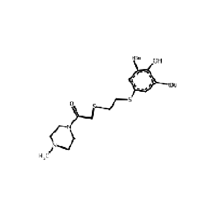 CN1CCN(C(=O)CSCCSc2cc(C(C)(C)C)c(O)c(C(C)(C)C)c2)CC1